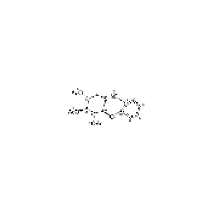 CC(=O)O[C@@H]1[C@@H](OC(C)=O)[C@H](OC(C)=O)CS[C@H]1Oc1ccccc1C#N